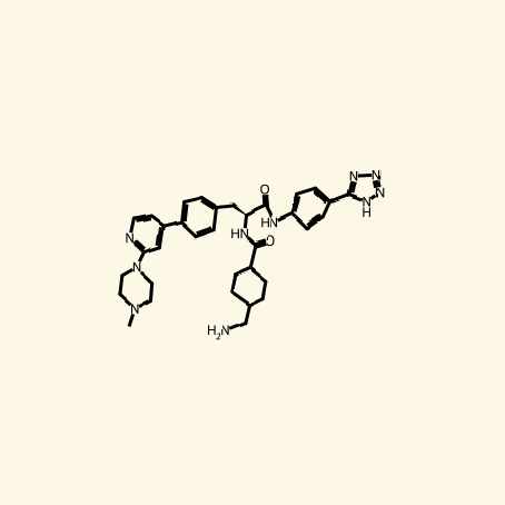 CN1CCN(c2cc(-c3ccc(C[C@H](NC(=O)C4CCC(CN)CC4)C(=O)Nc4ccc(-c5nnn[nH]5)cc4)cc3)ccn2)CC1